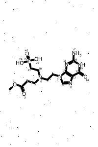 COC(=O)CCN(CCn1cnc2c(=O)[nH]c(N)nc21)CCP(=O)(O)O